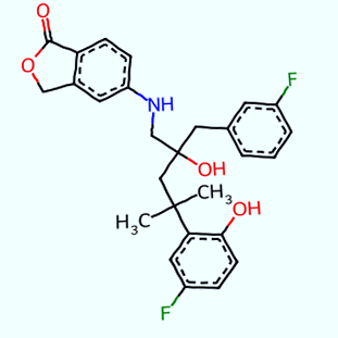 CC(C)(CC(O)(CNc1ccc2c(c1)COC2=O)Cc1cccc(F)c1)c1cc(F)ccc1O